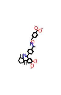 COC(=O)c1ccc(CON=C(C)c2ccc(C3=N[C@@H]4CCCC[C@@H]4c4cc(OC)c(OC)cc43)cc2)cc1